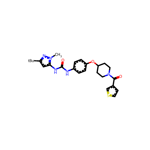 Cn1nc(C(C)(C)C)cc1NC(=O)Nc1ccc(OC2CCN(C(=O)c3ccsc3)CC2)cc1